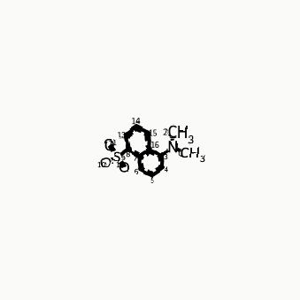 CN(C)c1cccc2c(S([O])(=O)=O)cccc12